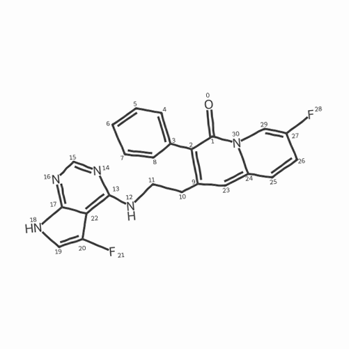 O=c1c(-c2ccccc2)c(CCNc2ncnc3[nH]cc(F)c23)cc2ccc(F)cn12